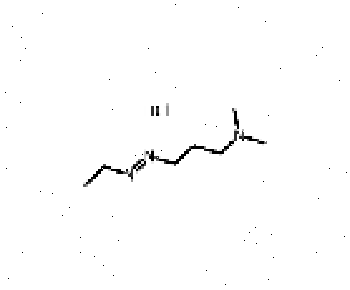 CCN=NCCCN(C)C.Cl